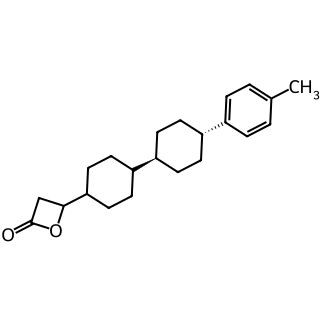 Cc1ccc([C@H]2CC[C@H](C3CCC(C4CC(=O)O4)CC3)CC2)cc1